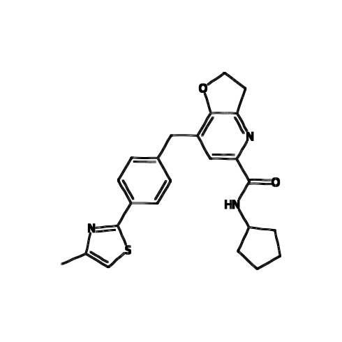 Cc1csc(-c2ccc(Cc3cc(C(=O)NC4CCCC4)nc4c3OCC4)cc2)n1